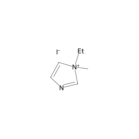 CC[N+]1(C)C=CN=C1.[I-]